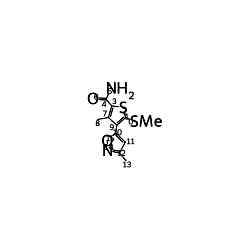 CSc1sc(C(N)=O)c(C)c1-c1cc(C)no1